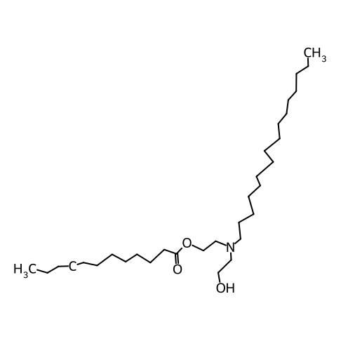 CCCCCCCCCCCCCCCCN(CCO)CCOC(=O)CCCCCCCCCCC